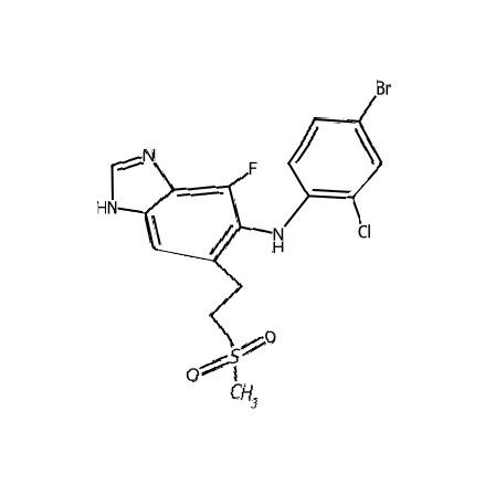 CS(=O)(=O)CCc1cc2[nH]cnc2c(F)c1Nc1ccc(Br)cc1Cl